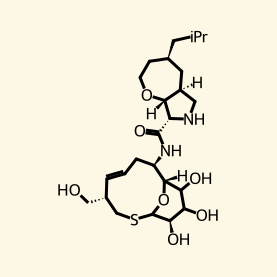 CC(C)C[C@@H]1CCO[C@@H]2[C@H](CN[C@@H]2C(=O)N[C@@H]2C/C=C/[C@@H](CO)CSC3O[C@H]2C(O)C(O)[C@H]3O)C1